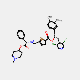 COc1ccc([C@H](Cc2c(Cl)cncc2Cl)OC(=O)c2ccc(CN[C@H](C(=O)OC3CCN(C)CC3)c3ccccc3)s2)cc1OC